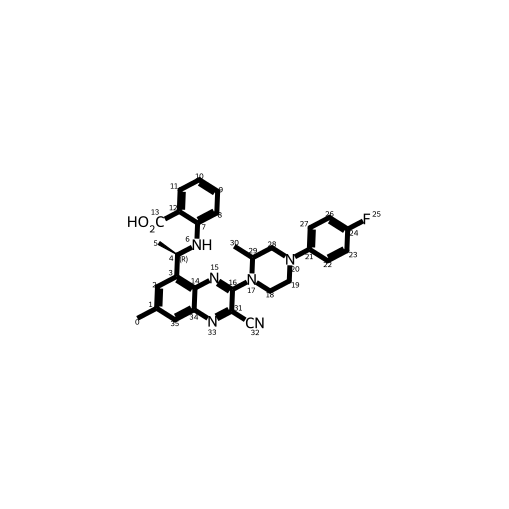 Cc1cc([C@@H](C)Nc2ccccc2C(=O)O)c2nc(N3CCN(c4ccc(F)cc4)CC3C)c(C#N)nc2c1